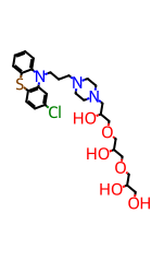 OCC(O)COCC(O)COCC(O)CN1CCN(CCCN2c3ccccc3Sc3ccc(Cl)cc32)CC1